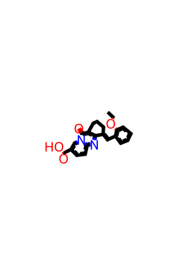 CCOc1ccccc1C=C1CCCc2c1nc1ccc(C(=O)O)cn1c2=O